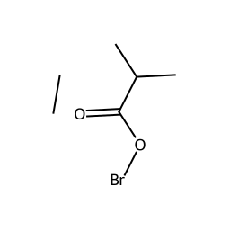 CC.CC(C)C(=O)OBr